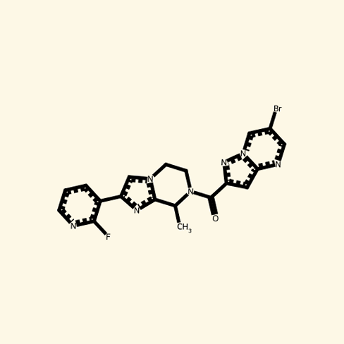 CC1c2nc(-c3cccnc3F)cn2CCN1C(=O)c1cc2ncc(Br)cn2n1